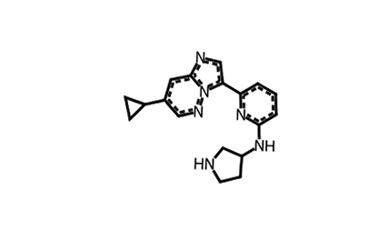 c1cc(NC2CCNC2)nc(-c2cnc3cc(C4CC4)cnn23)c1